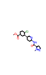 COC(=O)c1ccc(Cl)c(-c2ccc(NC(=O)c3ccnn3C)nc2)c1